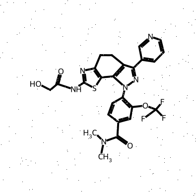 CN(C)C(=O)c1ccc(-n2nc(-c3cccnc3)c3c2-c2sc(NC(=O)CO)nc2CC3)c(OC(F)(F)F)c1